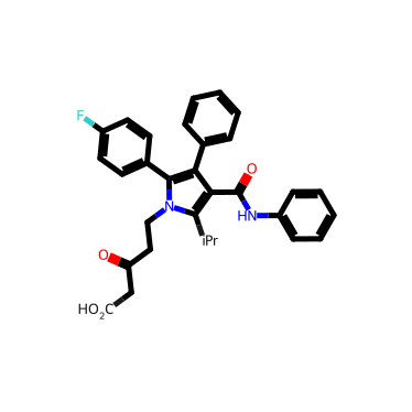 CC(C)c1c(C(=O)Nc2ccccc2)c(-c2ccccc2)c(-c2ccc(F)cc2)n1CCC(=O)CC(=O)O